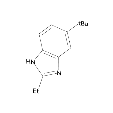 CCc1nc2cc(C(C)(C)C)ccc2[nH]1